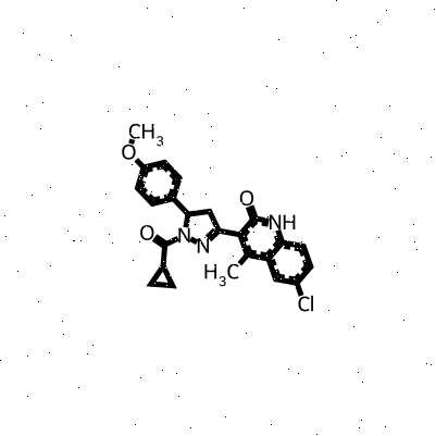 COc1ccc(C2CC(c3c(C)c4cc(Cl)ccc4[nH]c3=O)=NN2C(=O)C2CC2)cc1